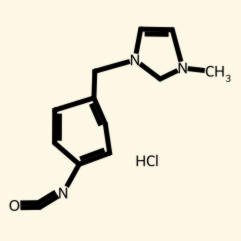 CN1C=CN(Cc2ccc(N=C=O)cc2)C1.Cl